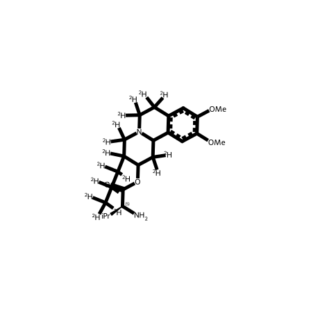 [2H]C1([2H])C2c3cc(OC)c(OC)cc3C([2H])([2H])C([2H])([2H])N2C([2H])([2H])C([2H])(C([2H])([2H])C([2H])(C)C([2H])([2H])[2H])C1OC(=O)[C@@H](N)C(C)C